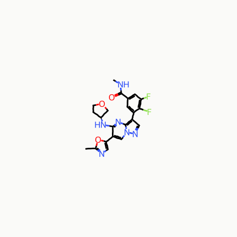 CNC(=O)c1cc(F)c(F)c(-c2cnn3cc(-c4cnc(C)o4)c(N[C@H]4CCOC4)nc23)c1